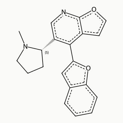 CN1CCC[C@H]1c1cnc2occc2c1-c1cc2ccccc2o1